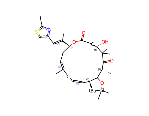 C/C1=C/C[C@@H](/C(C)=C/c2csc(C)n2)OC(=O)C[C@H](O)C(C)(C)C(=O)[C@H](C)C(O[Si](C)(C)C(C)(C)C)[C@@H](C)/C=C\C1